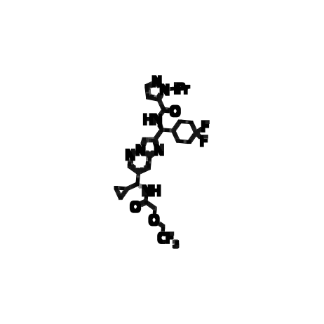 CC(C)n1nccc1C(=O)N[C@H](c1cn2ncc([C@H](NC(=O)COCC(F)(F)F)C3CC3)cc2n1)C1CCC(F)(F)CC1